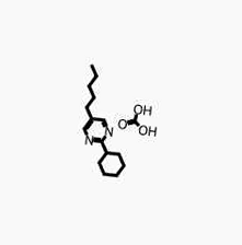 CCCCCc1cnc(C2CCCCC2)nc1.O=C(O)O